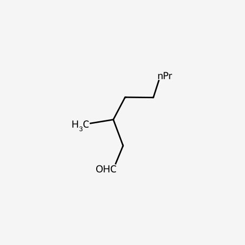 CCCCCC(C)CC=O